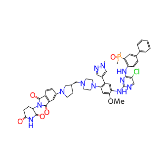 COc1cc(N2CCN(C[C@H]3CCN(c4ccc5c(c4)C(=O)N(C4CCC(=O)NC4=O)C5=O)C3)CC2)c(-c2cnn(C)c2)cc1Nc1ncc(Cl)c(Nc2ccc(-c3ccccc3)cc2P(C)(C)=O)n1